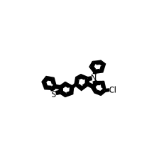 Clc1ccc2c3cc(-c4ccc5sc6ccccc6c5c4)ccc3n(-c3ccccc3)c2c1